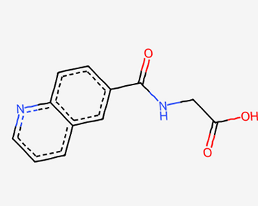 O=C(O)CNC(=O)c1ccc2ncccc2c1